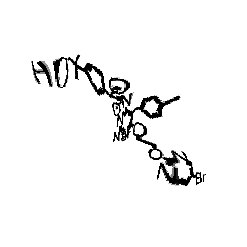 Cc1ccc(-c2c(N=S(=O)([O-])c3ccc(C(C)(C)CO)cc3)ncnc2OCCOc2ncc(Br)cn2)cc1.[Na+]